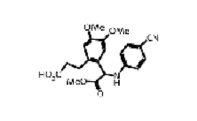 COC(=O)C(Nc1ccc(C#N)cc1)c1cc(OC)c(OC)cc1CCC(=O)O